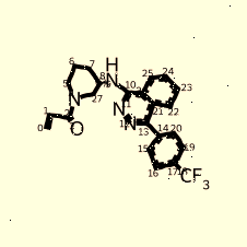 C=CC(=O)N1CCC[C@H](Nc2nnc(-c3ccc(C(F)(F)F)cc3)c3ccccc23)C1